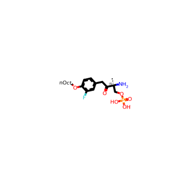 CCCCCCCCOc1ccc(CC(=O)[C@@](C)(N)COP(=O)(O)O)cc1F